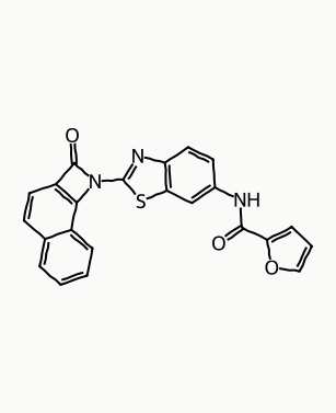 O=C(Nc1ccc2nc(N3C(=O)c4ccc5ccccc5c43)sc2c1)c1ccco1